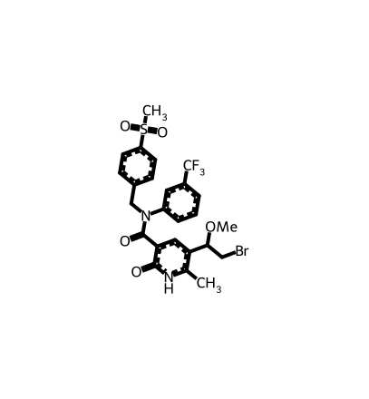 COC(CBr)c1cc(C(=O)N(Cc2ccc(S(C)(=O)=O)cc2)c2cccc(C(F)(F)F)c2)c(=O)[nH]c1C